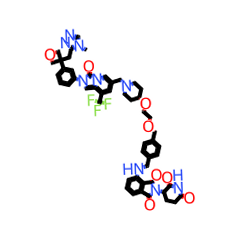 Cn1cnnc1CC1(c2cccc(-n3cc4c(C(F)(F)F)cc(CN5CCC(OCCOCc6ccc(CNc7cccc8c7C(=O)N(C7CCC(=O)NC7=O)C8=O)cc6)CC5)cn4c3=O)c2)COC1